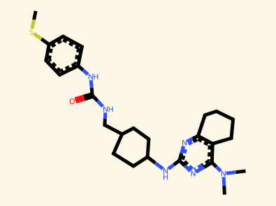 CSc1ccc(NC(=O)NCC2CCC(Nc3nc4c(c(N(C)C)n3)CCCC4)CC2)cc1